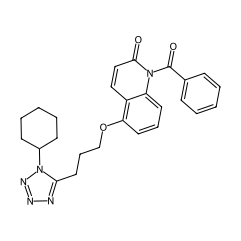 O=C(c1ccccc1)n1c(=O)ccc2c(OCCCc3nnnn3C3CCCCC3)cccc21